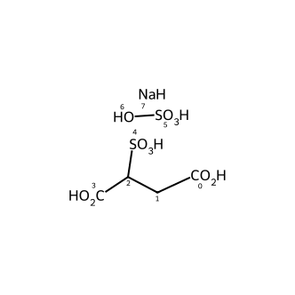 O=C(O)CC(C(=O)O)S(=O)(=O)O.O=S(=O)(O)O.[NaH]